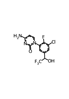 Nc1ccn(-c2cc(C(O)C(F)(F)F)cc(Cl)c2F)c(=O)n1